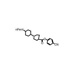 CCCCCC1CCC(N2CCC(C(=O)Oc3ccc(C#N)cc3)CC2)CC1